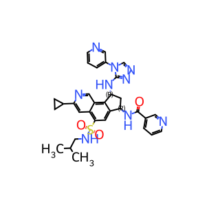 CC(C)CNS(=O)(=O)c1cc2c(c3cnc(C4CC4)cc13)[C@H](Nc1nncn1-c1cccnc1)C[C@H]2NC(=O)c1cccnc1